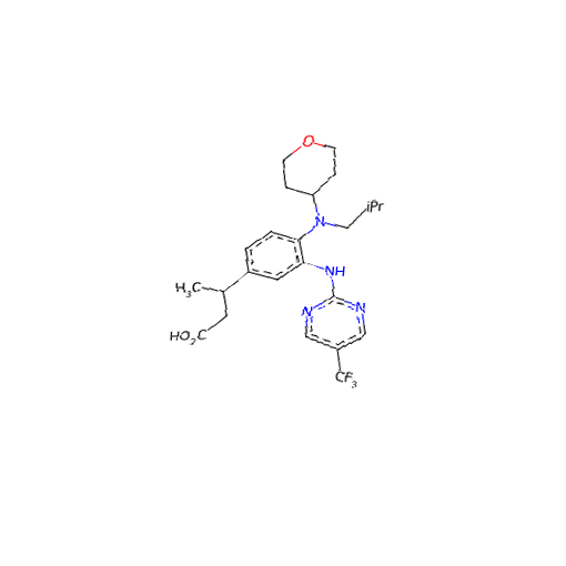 CC(C)CN(c1ccc(C(C)CC(=O)O)cc1Nc1ncc(C(F)(F)F)cn1)C1CCOCC1